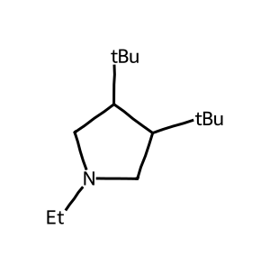 CCN1CC(C(C)(C)C)C(C(C)(C)C)C1